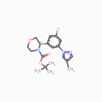 Cc1cnn(-c2cc(Cl)cc([C@@H]3COCCN3C(=O)OC(C)(C)C)c2)c1